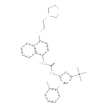 Cc1ccccc1-n1nc(C(C)(C)C)cc1NC(=O)Nc1ccc(OCCN2CCSC2)c2ccccc12